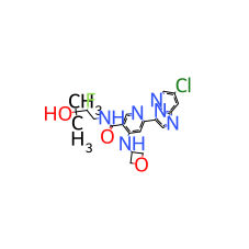 CC(C)(O)[C@H](F)CNC(=O)c1cnc(-c2cnc3cc(Cl)cnn23)cc1NC1COC1